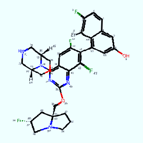 CCc1c(F)ccc2cc(O)cc(-c3c(F)cc4c(N5[C@@H]6CNC[C@H]5COC6)nc(OC[C@@]56CCCN5C[C@H](F)C6)nc4c3F)c12